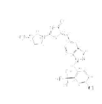 N[C@@H]1CCN(C2=NC(=O)/C(=C/c3ccc4c(cnn4Cc4ccc(Cl)cc4C(F)(F)F)c3)S2)C1